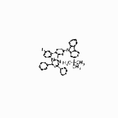 CC(C)(C)c1ccc2c3ccccc3n(-c3ccc(-c4cccc(F)c4)c(-c4nc(-c5ccccc5)nc(-c5ccccc5)n4)c3)c2c1